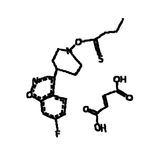 CCCC(=S)ON1CCC(c2noc3cc(F)ccc23)CC1.O=C(O)C=CC(=O)O